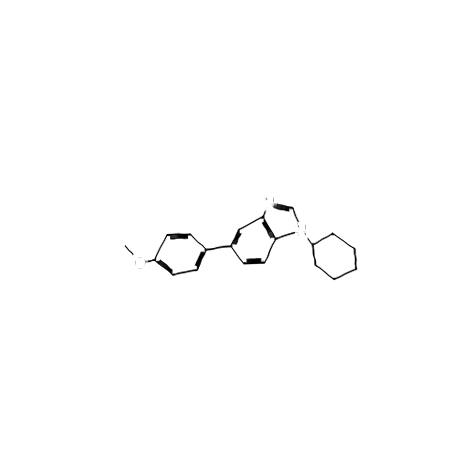 COc1ccc(-c2ccc3c(c2)ncn3C2CCCCC2)cc1